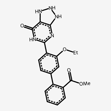 CCOc1cc(-c2ccccc2C(=O)OC)ccc1-c1nc2c(c(=O)[nH]1)NNN2